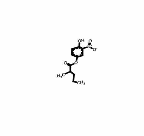 CCCC(C)C(=O)Oc1ccc(O)c([N+](=O)[O-])c1